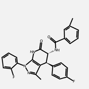 Cc1cccc(C(=O)N[C@H]2C(=O)Nc3c(c(C)nn3-c3ccccc3F)[C@@H]2c2ccc(F)cc2)c1